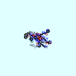 CC(=O)N[C@H](Cc1ccc2ccccc2c1)C(=O)N[C@H](Cc1ccc(Cl)cc1)C(=O)N[C@H](Cc1cccnc1)C(=O)N[C@@H](CO)C(=O)N[C@@H](CCCCNC(=O)c1cccnc1)C(=O)N[C@H](CCCCNC(=O)c1cccnc1)C(=O)N[C@@H](CC(C)C)C(=O)N[C@@H](CCCCNC(C)C)C(=O)N1CCC[C@H]1C(=O)O